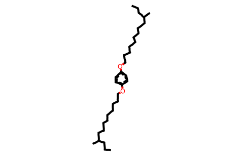 CCCC(C)CCCCCCCCCOc1ccc(OCCCCCCCCCC(C)CCC)cc1